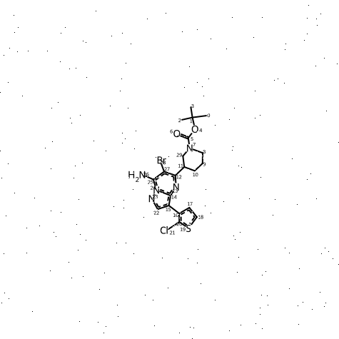 CC(C)(C)OC(=O)N1CCCC(c2nc3c(-c4ccsc4Cl)cnn3c(N)c2Br)C1